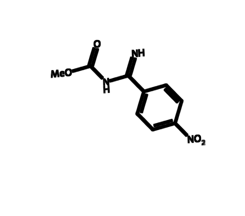 COC(=O)NC(=N)c1ccc([N+](=O)[O-])cc1